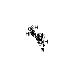 N#C[C@@H]1C[C@@H]1C(=S)NC1C(=O)N2C(C(=O)O)=C(CSC3=NNN4C(C(=O)O)CN34)CS[C@@H]12